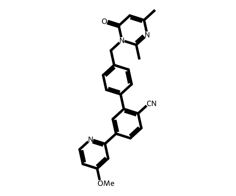 COc1ccnc(-c2ccc(C#N)c(-c3ccc(Cn4c(C)nc(C)cc4=O)cc3)c2)c1